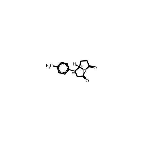 O=C1CC[C@H]2[C@H](c3ccc(C(F)(F)F)cc3)CC(=O)N12